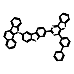 c1ccc(-c2cccc(-c3nc(-c4ccc5c(c4)oc4ccc(-n6c7ccccc7c7ccc8ccccc8c76)cc45)nc4c3sc3ccccc34)c2)cc1